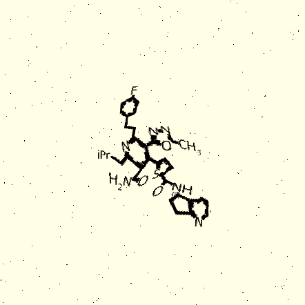 Cc1nnc(-c2c(CCc3ccc(F)cc3)nc(CC(C)C)c(C(N)=O)c2-c2ccc(C(=O)N[C@H]3CCc4ncccc43)s2)o1